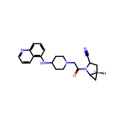 N#CC1C[C@@H]2CC2N1C(=O)CN1CCC(Nc2cccc3ncccc23)CC1